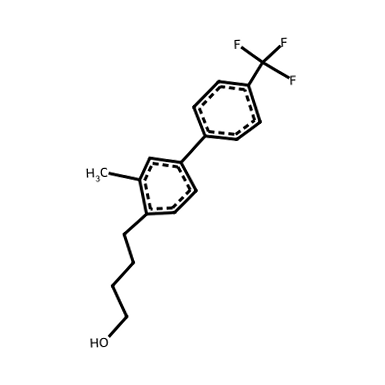 Cc1cc(-c2ccc(C(F)(F)F)cc2)ccc1CCCCO